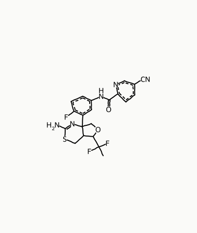 CC(F)(F)C1OCC2(c3cc(NC(=O)c4ccc(C#N)cn4)ccc3F)N=C(N)SCC12